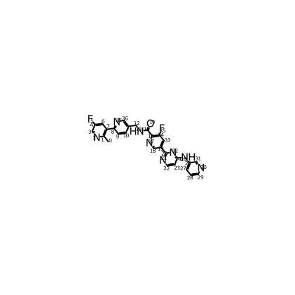 Cc1ncc(F)cc1-c1ccc(CNC(=O)c2ncc(-c3nccc(Nc4cccnc4)n3)cc2F)cn1